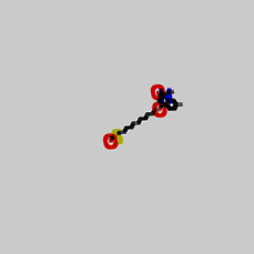 CCn1c(=O)cc(OCCCCCCCCCCCSC=O)c2ccc(C)cc21